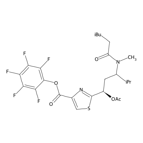 CCC(C)CC(=O)N(C)C(C[C@@H](OC(C)=O)c1nc(C(=O)Oc2c(F)c(F)c(F)c(F)c2F)cs1)C(C)C